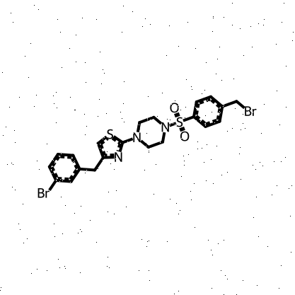 O=S(=O)(c1ccc(CBr)cc1)N1CCN(c2nc(Cc3cccc(Br)c3)cs2)CC1